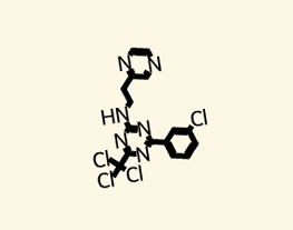 Clc1cccc(-c2nc(NCCc3cnccn3)nc(C(Cl)(Cl)Cl)n2)c1